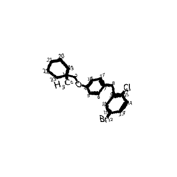 CC1(COc2ccc(Cc3cc(Br)ccc3Cl)cc2)CCCCC1